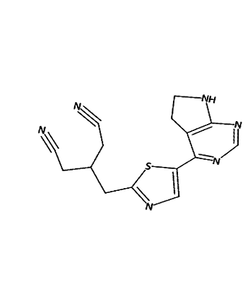 N#CCC(CC#N)Cc1ncc(-c2ncnc3c2CCN3)s1